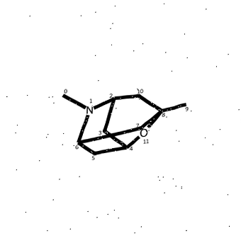 CN1C2CC3CC1CC(C)(C2)O3